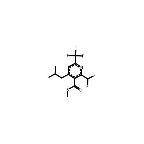 CSC(=O)c1c(CC(C)C)cc(C(F)(F)F)nc1C(F)F